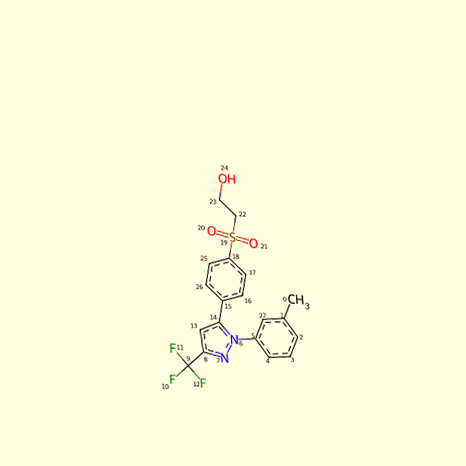 Cc1cccc(-n2nc(C(F)(F)F)cc2-c2ccc(S(=O)(=O)CCO)cc2)c1